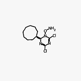 NON1C(Cl)=NC(Cl)=NC1=C1CCCCCCCC1